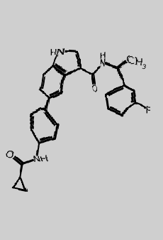 CC(NC(=O)c1c[nH]c2ccc(-c3ccc(NC(=O)C4CC4)cc3)cc12)c1cccc(F)c1